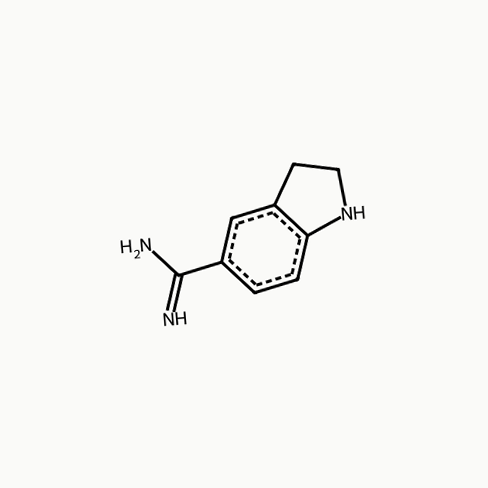 N=C(N)c1ccc2c(c1)CCN2